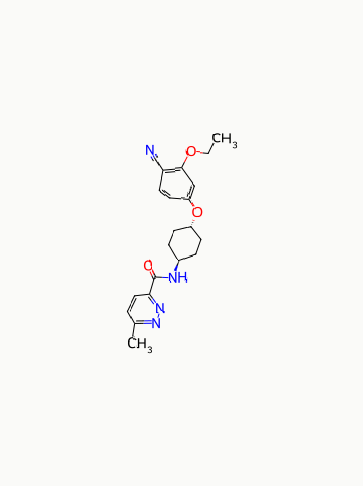 CCOc1cc(O[C@H]2CC[C@H](NC(=O)c3ccc(C)nn3)CC2)ccc1C#N